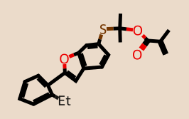 C=C(C)C(=O)OC(C)(C)Sc1ccc2cc(-c3ccccc3CC)oc2c1